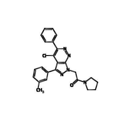 Cc1cccc(-c2nn(CC(=O)N3CCCC3)c3nnc(-c4ccccc4)c(Cl)c23)c1